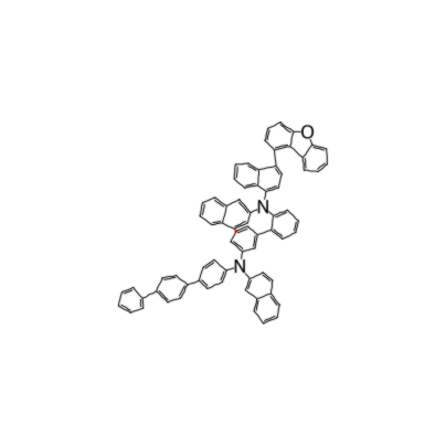 c1ccc(-c2ccc(-c3ccc(N(c4cccc(-c5ccccc5N(c5ccc6ccccc6c5)c5ccc(-c6cccc7oc8ccccc8c67)c6ccccc56)c4)c4ccc5ccccc5c4)cc3)cc2)cc1